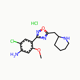 COc1cc(N)c(Cl)cc1-c1noc(CC2CCCCN2)n1.Cl